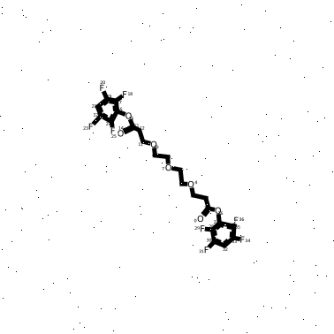 O=C(CCOCCOCCOCCC(=O)Oc1c(F)c(F)cc(F)c1F)Oc1c(F)c(F)cc(F)c1F